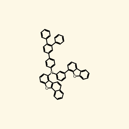 c1ccc(-c2ccc(-c3ccc(N(c4cccc(-c5cccc6c5oc5ccccc56)c4)c4cccc5oc6c7ccccc7ccc6c45)cc3)cc2-c2ccccc2)cc1